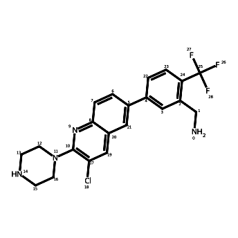 NCc1cc(-c2ccc3nc(N4CCNCC4)c(Cl)cc3c2)ccc1C(F)(F)F